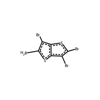 Bc1sc2c(Br)c(Br)sc2c1Br